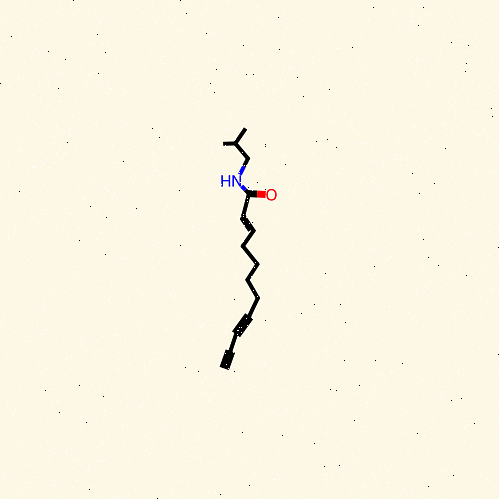 C#CC#CCCCCC=CC(=O)NCC(C)C